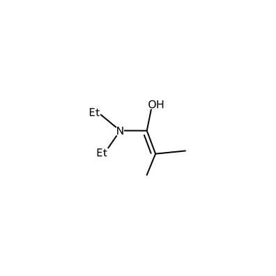 CCN(CC)C(O)=C(C)C